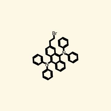 BrCCc1ccc2c(N(c3ccccc3)c3ccccc3)c3ccccc3c(N(c3ccccc3)c3ccccc3)c2c1